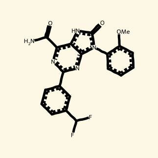 COc1ccccc1-n1c(=O)[nH]c2c(C(N)=O)nc(-c3cccc(C(F)F)c3)nc21